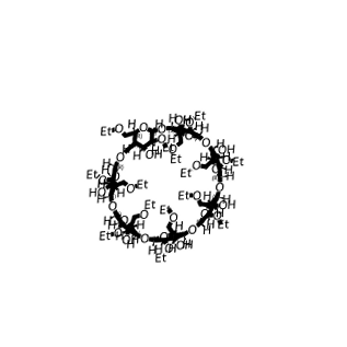 CCOC[C@H]1O[C@@H]2O[C@H]3[C@H](O)[C@@H](OCC)[C@@H](O[C@H]4[C@H](O)[C@@H](OCC)[C@@H](O[C@H]5[C@H](O)[C@@H](OCC)[C@@H](O[C@H]6[C@H](O)[C@@H](OCC)[C@@H](O[C@H]7[C@H](O)[C@@H](OCC)[C@@H](O[C@H]8[C@H](O)[C@@H](OCC)[C@@H](O[C@H]1[C@H](O)[C@H]2OCC)O[C@@H]8COCC)O[C@@H]7COCC)O[C@@H]6COCC)O[C@@H]5COCC)O[C@@H]4COCC)O[C@@H]3COCC